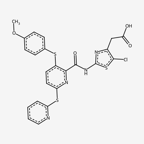 COc1ccc(Sc2ccc(Sc3ccccn3)nc2C(=O)Nc2nc(CC(=O)O)c(Cl)s2)cc1